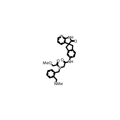 CNCc1ccccc1CN(CC(=O)Nc1ccc2c(c1)CC1(C2)C(=O)Nc2ncccc21)C(=O)COC